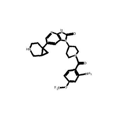 Nc1cc(OC(F)(F)F)ccc1C(=O)N1CCC(n2c(=O)[nH]c3ncc(C45CCNCC4C5)cc32)CC1